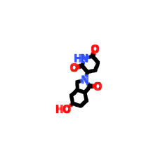 O=C1CCC(N2CC3CC(O)CCC3C2=O)C(=O)N1